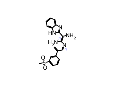 C=C(/C=N\C(N)=C(/N)c1nc2ccccc2[nH]1)c1cccc(S(C)(=O)=O)c1